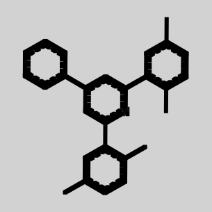 Cc1ccc(C)c(-c2cc(-c3ccccc3)cc(-c3cc(C)ccc3C)n2)c1